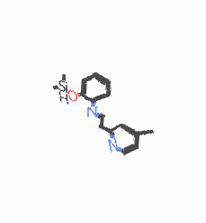 Cc1ccnc(CC=Nc2ccccc2O[SiH](C)C)c1